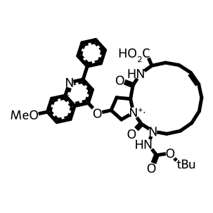 COc1ccc2c(OC3CC4C(=O)NC(C(=O)O)CCC=CCCCCCN(NC(=O)OC(C)(C)C)C(=O)[N+]4C3)cc(-c3ccccc3)nc2c1